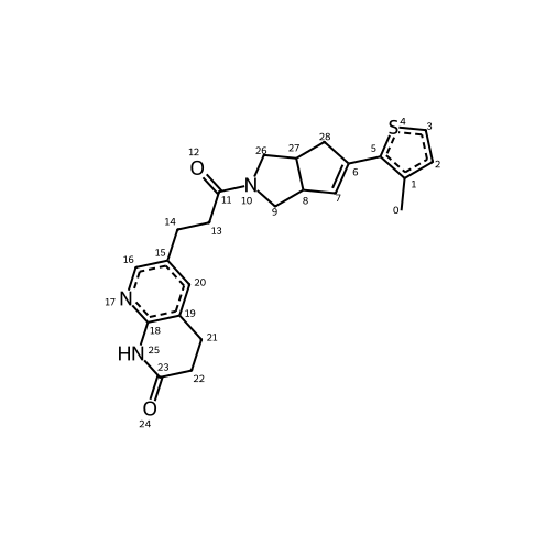 Cc1ccsc1C1=CC2CN(C(=O)CCc3cnc4c(c3)CCC(=O)N4)CC2C1